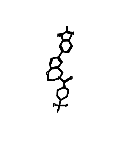 Cc1nc2ccc(-c3ccc4c(c3)CN(C(=O)N3CCC(C(F)(F)F)CC3)CCO4)cc2[nH]1